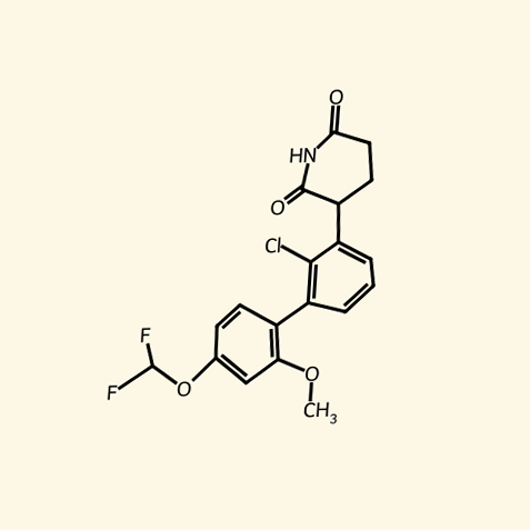 COc1cc(OC(F)F)ccc1-c1cccc(C2CCC(=O)NC2=O)c1Cl